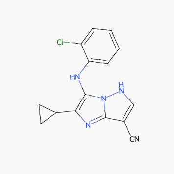 N#Cc1c[nH]n2c(Nc3ccccc3Cl)c(C3CC3)nc12